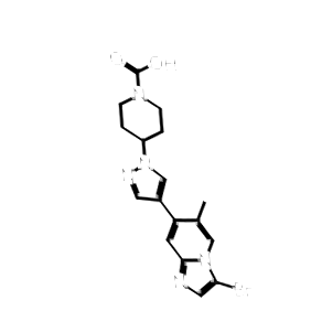 Cc1cn2c(Br)cnc2cc1-c1cnn(C2CCN(C(=O)O)CC2)c1